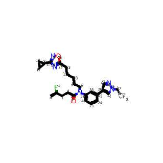 C=C(F)CCC(=O)N(CCCCCc1nc(C2CC2)no1)c1cccc(-c2cnn(CC(F)(F)F)c2)c1